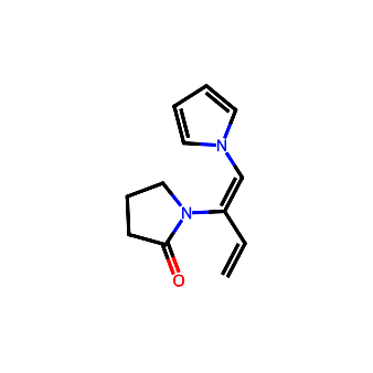 C=CC(=Cn1cccc1)N1CCCC1=O